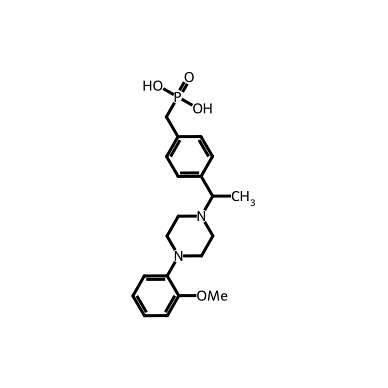 COc1ccccc1N1CCN(C(C)c2ccc(CP(=O)(O)O)cc2)CC1